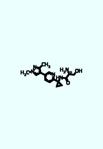 Cc1nn(C)cc1-c1ccc(C2(NC(=O)[C@@H](N)CO)CC2)nc1